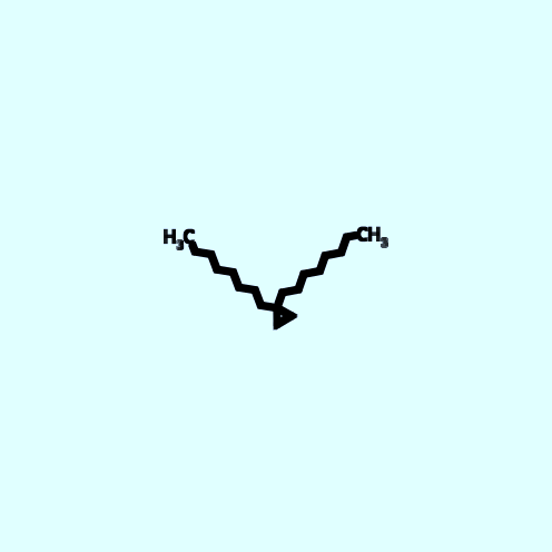 CCCCCCCCC1(CCCCCCCC)CC1